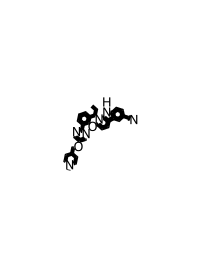 CCC(c1cccc(-c2ncc(OCC3CCN(C)CC3)cn2)c1)n1c(=O)ccc2c3cc(C#N)ccc3[nH]c21